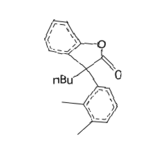 CCCCC1(c2cccc(C)c2C)C(=O)Oc2ccccc21